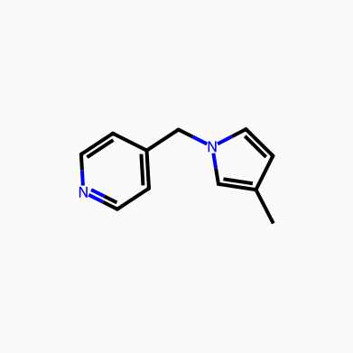 Cc1ccn(Cc2ccncc2)c1